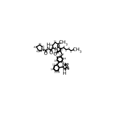 CCCCCc1c(Cc2ccc(-c3ccccc3-c3nnn[nH]3)cc2)c(=O)n2n1C(C)CCC2C(=O)NC(=O)N1CCCCC1